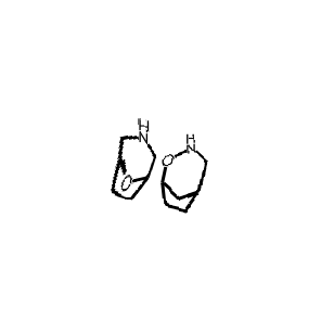 C1CC2CC1CNO2.C1CC2CNCC1O2